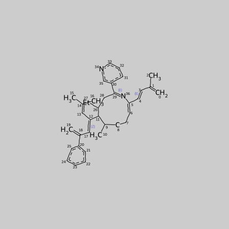 C=C(C)/C=C/C1=CCCC(C)C(/C(C=C(C)C)=C/C(=C)c2ccccc2)C(CC)C/C(c2cccnc2)=N\1